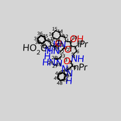 CCC[C@H](C(=O)NCC[C@@H](C[C@H](O)[C@H](CC1CCCCC1)NC(=O)[C@H](Cc1c[nH]cn1)NC(=O)C(Cc1ccccc1)NC(=O)O)C(C)C)c1nc2ccccc2[nH]1